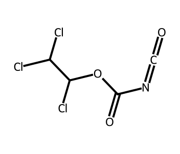 O=C=NC(=O)OC(Cl)C(Cl)Cl